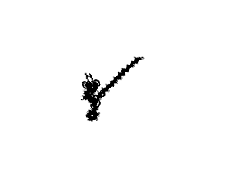 CCCCCCCCCCCCCCCCCCOCCOP(=O)(COC(C)Cn1ccc(=O)[nH]c1=O)OCc1ccccc1